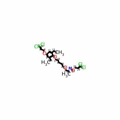 CCc1cc(OCC=C(Cl)Cl)cc(CC)c1OCCCCCOCC(C)=NOCC=C(Cl)Cl